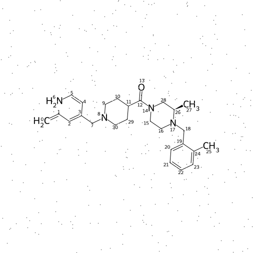 C=C/C=C(\C=C/N)CN1CCC(C(=O)N2CCN(Cc3ccccc3C)[C@H](C)C2)CC1